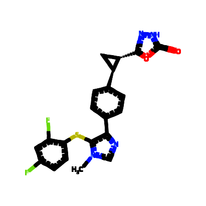 Cn1cnc(-c2ccc([C@H]3C[C@@H]3c3n[nH]c(=O)o3)cc2)c1Sc1ccc(F)cc1F